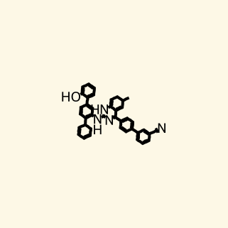 CC1C=C2C(=CC1)NC(Nc1cc(-c3ccccc3O)ccc1C1C=CC=CC1)N=C2c1ccc(-c2cccc(C#N)c2)cc1